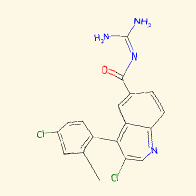 Cc1cc(Cl)ccc1-c1c(Cl)cnc2ccc(C(=O)N=C(N)N)cc12